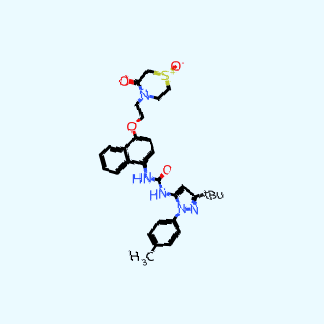 Cc1ccc(-n2nc(C(C)(C)C)cc2NC(=O)Nc2ccc(OCCN3CC[S+]([O-])CC3=O)c3ccccc23)cc1